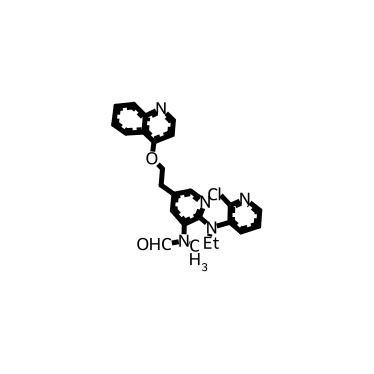 CCN(c1cccnc1Cl)c1ncc(CCOc2ccnc3ccccc23)cc1N(C)C=O